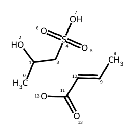 CC(O)CS(=O)(=O)O.CC=CC([O])=O